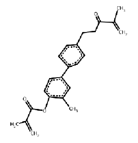 C=C(C)C(=O)CCc1ccc(-c2ccc(OC(=O)C(=C)C)c(C)c2)cc1